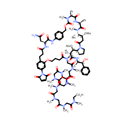 CC[C@H](C)[C@@H]([C@@H](CC(=O)N1CCC[C@H]1[C@H](OC)[C@@H](C)C(=O)N[C@H](C)[C@@H](O)c1ccccc1)OC)N(C)C(=O)[C@@H](NC(=O)[C@H](C(C)C)N(C)C(=O)OCc1ccc(NC(=O)[C@H](CC(N)=O)NC(=O)CCc2ccc(N3C(=O)C=CC3=O)cc2OCCCC(=O)N(C)CC(=O)N(C)CC(=O)N(C)CC(=O)N(C)CC(=O)N(C)CC(=O)N(C)CC(=O)N(C)CC(=O)N(C)CC(=O)N(C)CC(=O)N(C)CC(=O)O)cc1)C(C)C